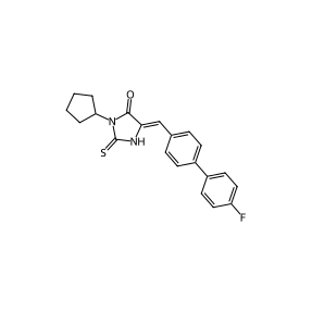 O=C1/C(=C/c2ccc(-c3ccc(F)cc3)cc2)NC(=S)N1C1CCCC1